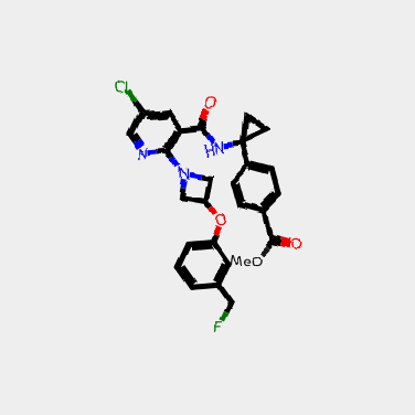 COC(=O)c1ccc(C2(NC(=O)c3cc(Cl)cnc3N3CC(Oc4cccc(CF)c4)C3)CC2)cc1